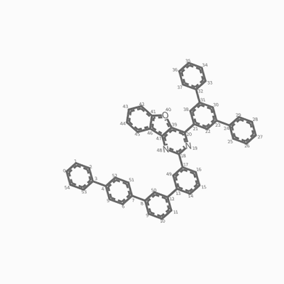 c1ccc(-c2ccc(-c3cccc(-c4cccc(-c5nc(-c6cc(-c7ccccc7)cc(-c7ccccc7)c6)c6oc7ccccc7c6n5)c4)c3)cc2)cc1